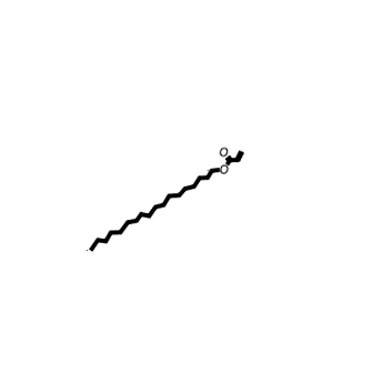 [CH2]CCCCCCCCCCCCCCCC[CH]OC(=O)C=C